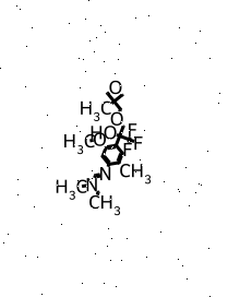 CCN(C)C=Nc1cc(OC)c(C(O)(COCC2(C)COC2)C(F)(F)F)cc1C